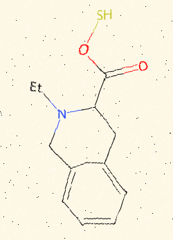 CCN1Cc2ccccc2CC1C(=O)OS